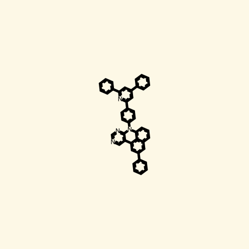 c1ccc(-c2cc(-c3ccccc3)nc(-c3ccc(N4c5ncncc5-c5cc(-c6ccccc6)cc6cccc4c56)cc3)c2)cc1